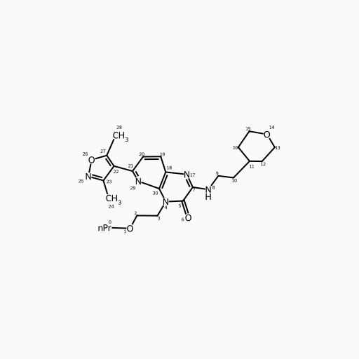 CCCOCCn1c(=O)c(NCCC2CCOCC2)nc2ccc(-c3c(C)noc3C)nc21